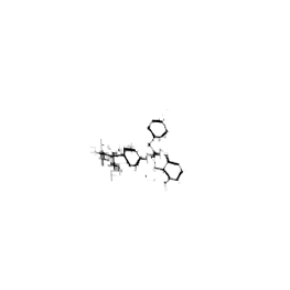 O=c1c2c(Cl)cccc2nc(Cc2ccc(Cl)cc2)n1-c1ccc(C(O)(C(F)(F)F)C(F)(F)F)cc1